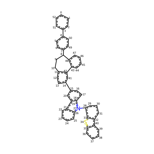 c1ccc(-c2ccc(C3CCc4ccc(-c5ccc6c(c5)c5ccccc5n6-c5cccc6c5sc5ccccc56)cc4-c4ccccc43)cc2)cc1